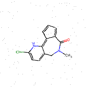 CN1CC2=CC=C(Cl)NC2=C2C=CC=C2C1=O